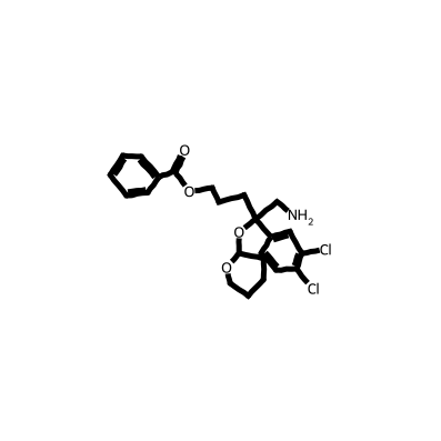 NCC(CCCOC(=O)c1ccccc1)(OC1CCCCO1)c1ccc(Cl)c(Cl)c1